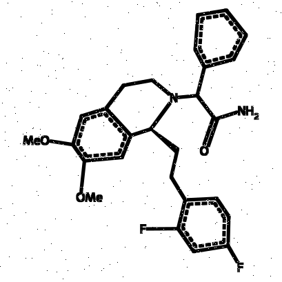 COc1cc2c(cc1OC)[C@H](CCc1ccc(F)cc1F)N(C(C(N)=O)c1ccccc1)CC2